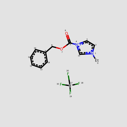 CCn1cc[n+](C(=O)OCc2ccccc2)c1.F[B-](F)(F)F